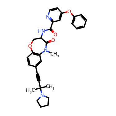 CN1C(=O)C(NC(=O)c2cc(Oc3ccccc3)ccn2)COc2ccc(C#CC(C)(C)N3CCCC3)cc21